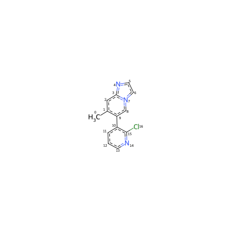 Cc1cc2nccn2cc1-c1cccnc1Cl